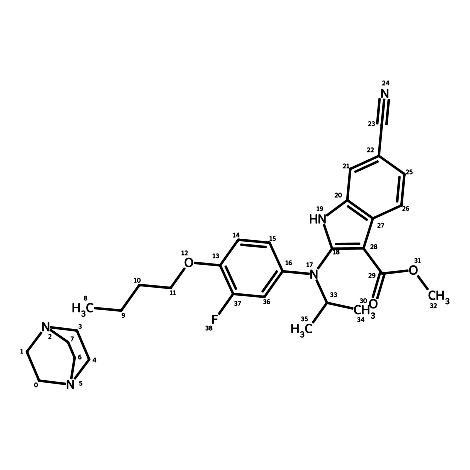 C1CN2CCN1CC2.CCCCOc1ccc(N(c2[nH]c3cc(C#N)ccc3c2C(=O)OC)C(C)C)cc1F